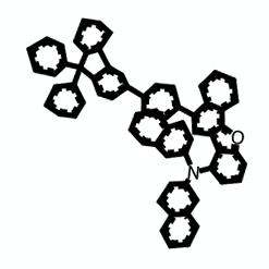 c1ccc(C2(c3ccccc3)c3ccccc3-c3cc(-c4ccc(-c5cc6c(oc7cccc(N(c8ccc9ccccc9c8)c8ccc9ccccc9c8)c76)c6ccccc56)cc4)ccc32)cc1